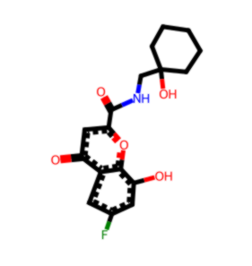 O=C(NCC1(O)CCCCC1)c1cc(=O)c2cc(F)cc(O)c2o1